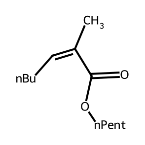 CCCCC=C(C)C(=O)OCCCCC